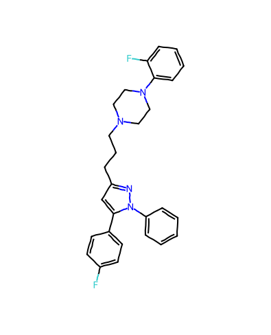 Fc1ccc(-c2cc(CCCN3CCN(c4ccccc4F)CC3)nn2-c2ccccc2)cc1